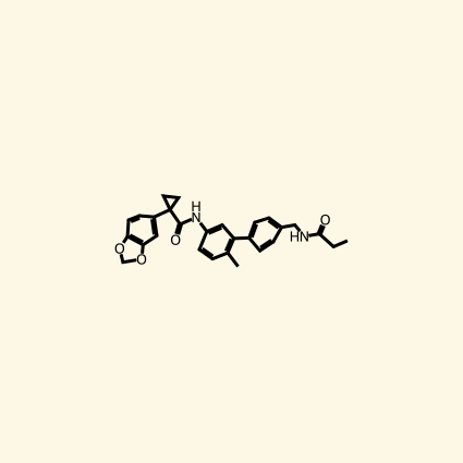 CCC(=O)NCc1ccc(-c2cc(NC(=O)C3(c4ccc5c(c4)OCO5)CC3)ccc2C)cc1